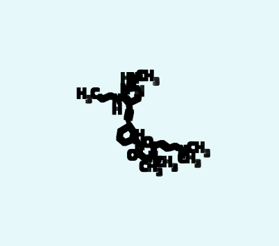 CCCNc1nc(NC)ncc1C#C[C@@H]1CCC[C@H](NC(=O)[C@H](C)N(C)C(=O)/C=C/CN(C)C)C1